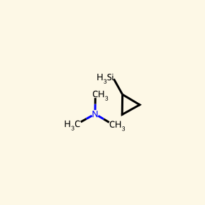 CN(C)C.[SiH3]C1CC1